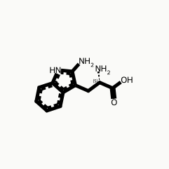 Nc1[nH]c2ccccc2c1C[C@H](N)C(=O)O